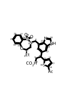 CC[C@@H]1CN(Cc2cc(C(CC(=O)O)c3ccc(C(C)=O)s3)cc3[nH]cnc23)S(=O)(=O)c2ccccc2O1